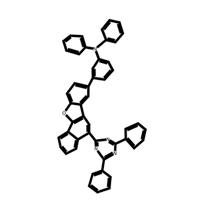 c1ccc(-c2nc(-c3ccccc3)nc(-c3cc4c5cc(-c6cccc(N(c7ccccc7)c7ccccc7)c6)ccc5oc4c4ccccc34)n2)cc1